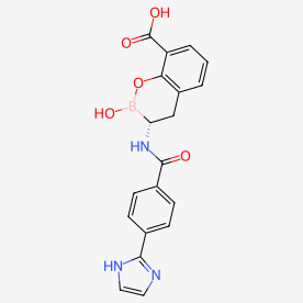 O=C(N[C@H]1Cc2cccc(C(=O)O)c2OB1O)c1ccc(-c2ncc[nH]2)cc1